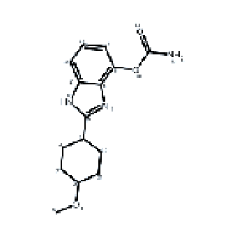 COC1CCC(c2nc3c(OC(N)=O)cccc3[nH]2)CC1